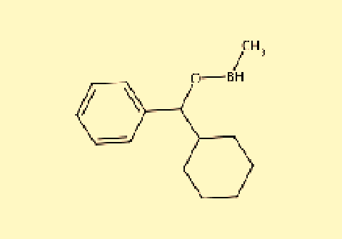 CBOC(c1ccccc1)C1CCCCC1